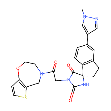 Cn1cc(-c2ccc3c(c2)CC[C@@]32NC(=O)N(CC(=O)N3CCOc4ccsc4C3)C2=O)cn1